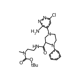 CN(CCNC(=O)C1CN(c2cc(Cl)nnc2N)CCN1c1ccccc1)C(=O)OC(C)(C)C